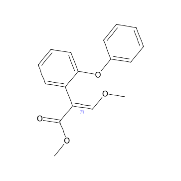 CO/C=C(/C(=O)OC)c1ccccc1Oc1ccccc1